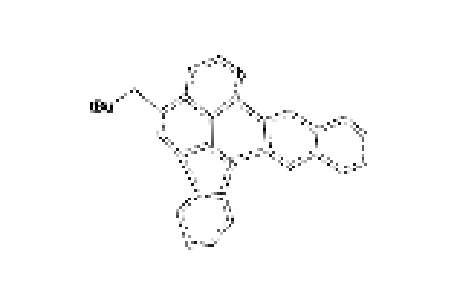 CC(C)(C)Cc1cc2c3ccccc3n3c4cc5ccccc5cc4c4nccc1c4c23